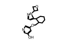 Oc1cncc(OCC2CCCCC2c2ccnn2C2COC2)c1